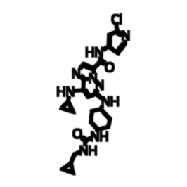 O=C(NCC1CC1)NC1CCC(Nc2cc(NC3CC3)c3ncc(C(=O)Nc4ccnc(Cl)c4)n3n2)CC1